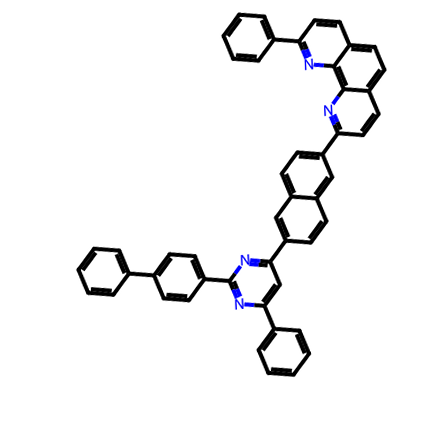 c1ccc(-c2ccc(-c3nc(-c4ccccc4)cc(-c4ccc5cc(-c6ccc7ccc8ccc(-c9ccccc9)nc8c7n6)ccc5c4)n3)cc2)cc1